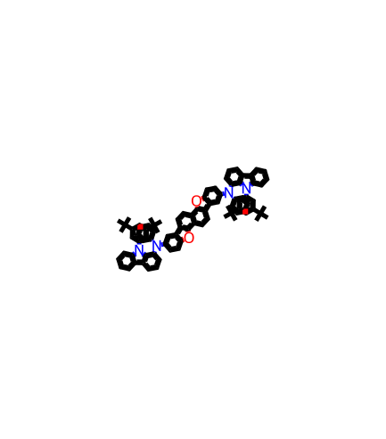 CC(C)(C)c1cc(-n2c3ccccc3c3cccc(N(c4ccccc4)c4ccc5oc6c(ccc7c6ccc6c8cc(N(c9ccccc9)c9cccc%10c%11ccccc%11n(-c%11cc(C(C)(C)C)cc(C(C)(C)C)c%11)c9%10)ccc8oc67)c5c4)c32)cc(C(C)(C)C)c1